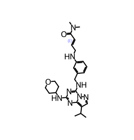 CC(C)c1cnn2c(NCc3cccc(NC/C=C/C(=O)N(C)C)c3)nc(NC3CCOCC3)nc12